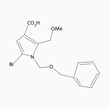 COCc1c(C(=O)O)cc(Br)n1COCc1ccccc1